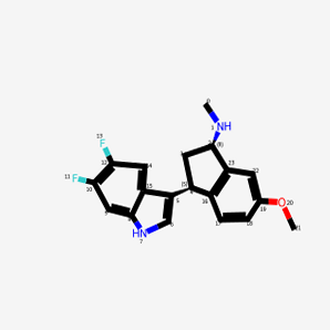 CN[C@@H]1C[C@H](c2c[nH]c3cc(F)c(F)cc23)c2ccc(OC)cc21